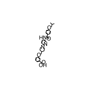 CC(C)COc1ccc(C(=O)Nc2ccc(N3CCC(COc4cccc(C(=O)O)c4)CC3)nc2)cc1